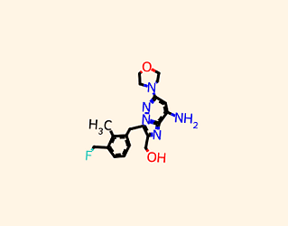 Cc1c(CF)cccc1Cc1c(CO)nc2c(N)cc(N3CCOCC3)nn12